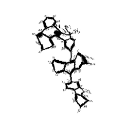 CC1(C)c2ccc(-c3c4ccccc4c(-c4ccc5c(c4)sc4ccccc45)c4ccccc34)cc2-c2c1c1ccccc1c1ccccc21